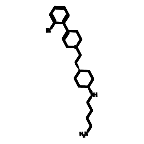 CCc1ccccc1C1=CCN(CC[C@H]2CC[C@H](NCCCCN)CC2)CC1